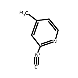 [C-]#[N+]c1cc(C)ccn1